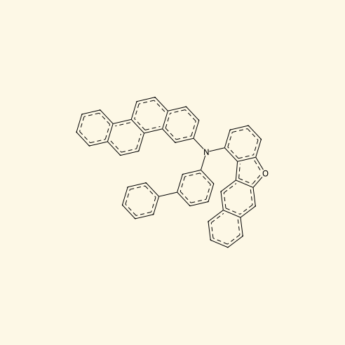 c1ccc(-c2cccc(N(c3ccc4ccc5c6ccccc6ccc5c4c3)c3cccc4oc5cc6ccccc6cc5c34)c2)cc1